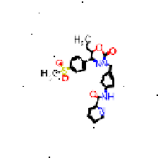 CCC1OC(=O)N(Cc2ccc(NC(=O)c3ccccn3)cc2)N=C1c1ccc(S(C)(=O)=O)cc1